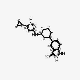 O=c1[nH][nH]c2ccc(C3CCCC(Nc4cc(C5CC5)[nH]n4)C3)cc12